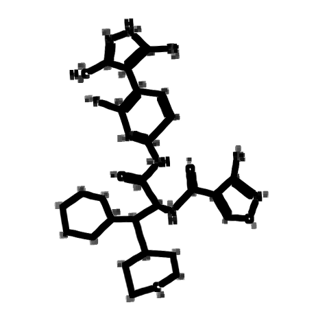 CCc1nocc1C(=O)N[C@H](C(=O)Nc1ccc(-c2c(C)n[nH]c2CC)c(F)n1)C(C1CCCCC1)C1CCCCC1